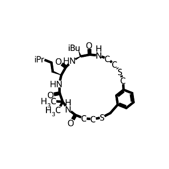 CC[C@H](C)[C@@H]1NC(=O)[C@H](CCC(C)C)NC(=O)C(C)(C)NC(=O)CCSCc2cccc(c2)CSCCNC1=O